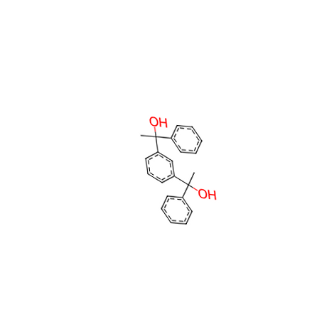 CC(O)(c1ccccc1)c1cccc(C(C)(O)c2ccccc2)c1